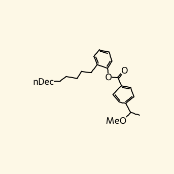 CCCCCCCCCCCCCCCc1ccccc1OC(=O)c1ccc(C(C)OC)cc1